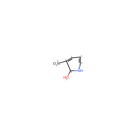 O=[N+]([O-])C1=CC=CNC1O